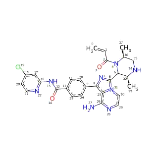 C=CC(=O)N1C(c2nc(-c3ccc(C(=O)Nc4cc(Cl)ccn4)cc3)c3c(N)nccn23)[C@H](C)NC[C@@H]1C